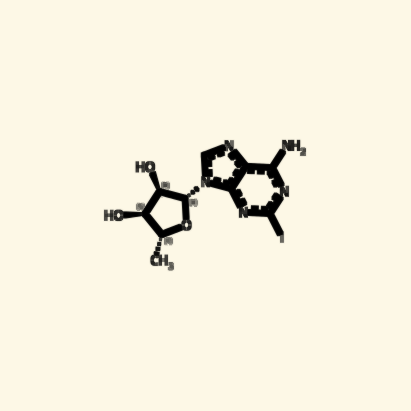 C[C@H]1O[C@@H](n2cnc3c(N)nc(I)nc32)[C@H](O)[C@@H]1O